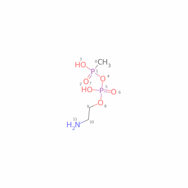 CP(=O)(O)OP(=O)(O)OCCN